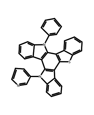 c1ccc(-n2c3ccccc3c3c4c(c5ccccc5n4-c4cccnc4)c4sc5ccccc5c4c32)cc1